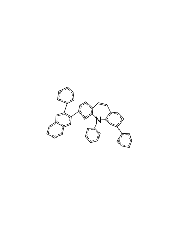 C1=Cc2ccc(-c3cc4ccccc4cc3-c3ccccc3)cc2N(c2ccccc2)c2cc(-c3ccccc3)ccc21